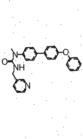 CN(C(=O)NCc1cccnc1)c1ccc(-c2ccc(Oc3ccccc3)cc2)cc1